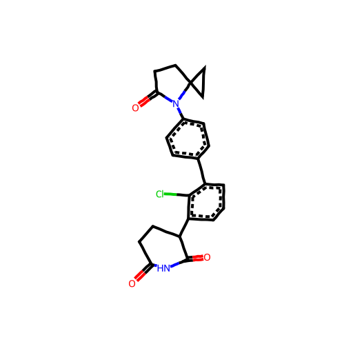 O=C1CCC(c2cccc(-c3ccc(N4C(=O)CCC45CC5)cc3)c2Cl)C(=O)N1